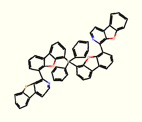 c1ccc([Si](c2ccccc2)(c2cccc3c2oc2c(-c4nccc5c4oc4ccccc45)cccc23)c2cccc3c2oc2c(-c4nccc5c4sc4ccccc45)cccc23)cc1